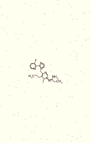 CCCC1=C(Cn2ccnc2-c2ncccc2F)N=CN(/N=C(\N)CC)C1I